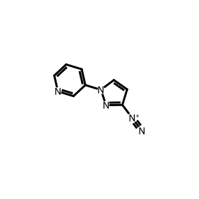 N#[N+]c1ccn(-c2cccnc2)n1